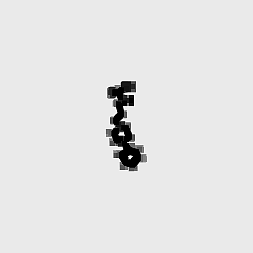 S=C(S)NCCCN1CCN(c2ccccc2)CC1